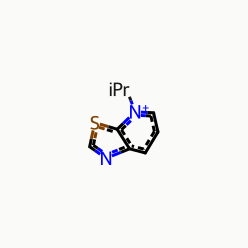 CC(C)[n+]1cccc2ncsc21